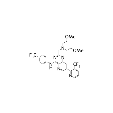 COCCN(CCOC)Cc1nc(Nc2ccc(C(F)(F)F)cc2)c2ncc(-c3ncccc3C(F)(F)F)cc2n1